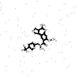 COc1cc2nc(N)c3c(c2cc1C(=O)N(C)Cc1ccc(C(F)(F)F)cn1)COC3